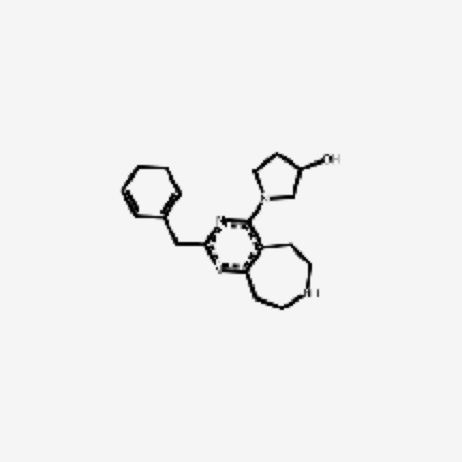 OC1CCN(c2nc(CC3=CCCC=C3)nc3c2CCNCC3)C1